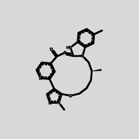 Cc1ccc2c(c1)N1C[C@H](C)CCCOc3c(cnn3C)-c3cc(ccn3)C(=O)/N=C/1N2